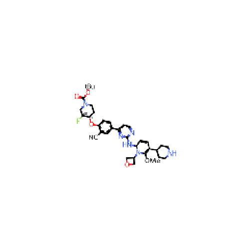 COC1=C(C2CCNCC2)C=CC(Nc2nccc(-c3ccc(O[C@@H]4CCN(C(=O)OC(C)(C)C)C[C@@H]4F)c(C#N)c3)n2)N1C1COC1